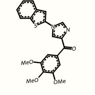 COc1cc(C(=O)c2cn(-c3cc4ccccc4s3)cn2)cc(OC)c1OC